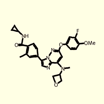 COc1ccc(Oc2cc(N(C)C3COC3)c3ncc(-c4ccc(C(=O)NC5CC5)c(C)c4)n3n2)cc1F